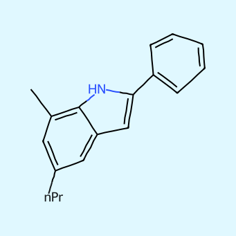 CCCc1cc(C)c2[nH]c(-c3ccccc3)cc2c1